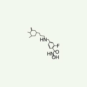 C=C1CC(CCCNCc2ccc(C(=O)NO)c(F)c2)CC(C)C1C